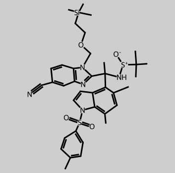 Cc1ccc(S(=O)(=O)n2ccc3c(C(C)(N[S+]([O-])C(C)(C)C)c4nc5cc(C#N)ccc5n4COCC[Si](C)(C)C)c(C)cc(C)c32)cc1